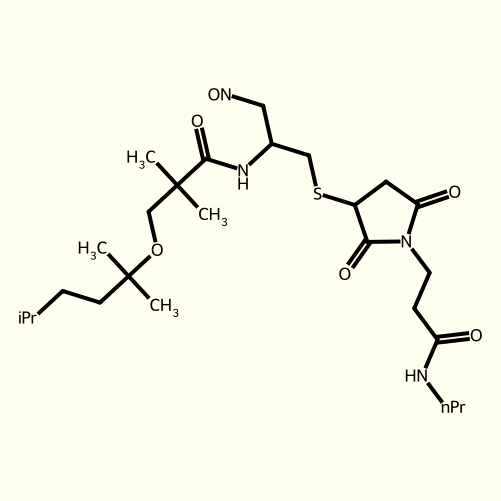 CCCNC(=O)CCN1C(=O)CC(SCC(CN=O)NC(=O)C(C)(C)COC(C)(C)CCC(C)C)C1=O